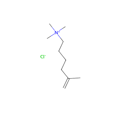 C=C(C)CCCC[N+](C)(C)C.[Cl-]